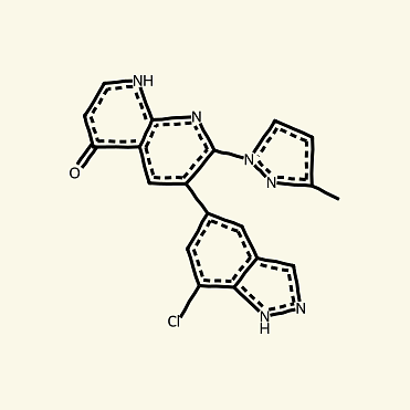 Cc1ccn(-c2nc3[nH]ccc(=O)c3cc2-c2cc(Cl)c3[nH]ncc3c2)n1